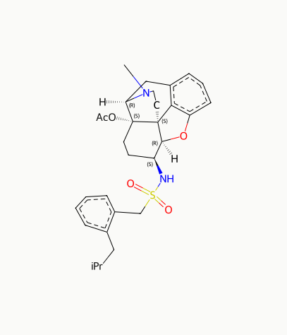 CC(=O)O[C@@]12CC[C@H](NS(=O)(=O)Cc3ccccc3CC(C)C)[C@@H]3Oc4cccc5c4[C@@]31CCN(C)[C@@H]2C5